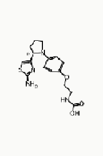 Nc1nc([C@H]2CCCN2c2ccc(OCCNC(=O)O)cc2)cs1